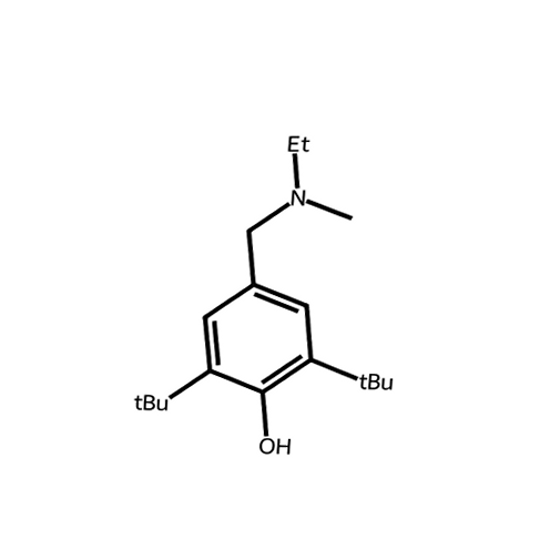 CCN(C)Cc1cc(C(C)(C)C)c(O)c(C(C)(C)C)c1